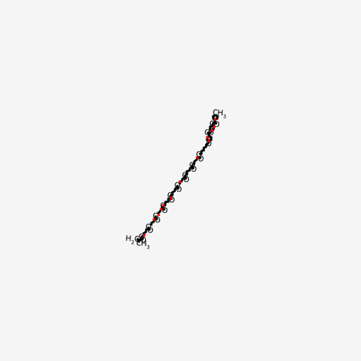 C=C(C)C(=O)OCCCCC(=O)OCCCCC(=O)OCCCCC(=O)OCCCCC(=O)OCCCCC(=O)OCCCCC(=O)OCCCCC(=O)OCCCCC(=O)OCCCCCCOc1ccc(C(=O)Oc2ccc(OC(=O)c3ccc(C)cc3)cc2)cc1